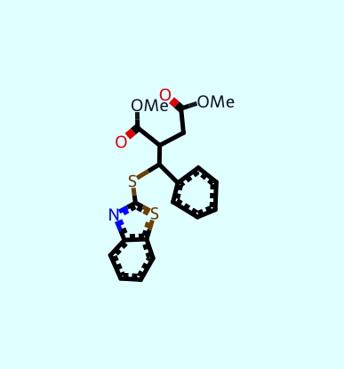 COC(=O)CC(C(=O)OC)C(Sc1nc2ccccc2s1)c1ccccc1